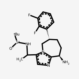 CC(N[S+]([O-])C(C)(C)C)c1cnc2n1C[C@H](c1cccc(F)c1F)CC[C@H]2N